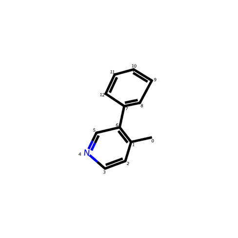 Cc1ccncc1-c1cc[c]cc1